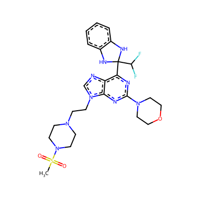 CS(=O)(=O)N1CCN(CCn2cnc3c(C4(C(F)F)Nc5ccccc5N4)nc(N4CCOCC4)nc32)CC1